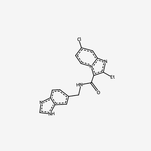 CCc1nc2cc(Cl)ccn2c1C(=O)NCc1ccc2nc[nH]c2c1